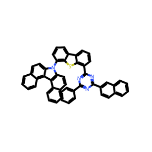 c1ccc(-c2nc(-c3ccc4ccccc4c3)nc(-c3cccc4c3sc3c(-n5c6ccc7ccccc7c6c6c7ccccc7ccc65)cccc34)n2)cc1